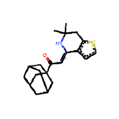 CC1(C)Cc2sccc2/C(=C/C(=O)C23CC4CC(CC(C4)C2)C3)N1